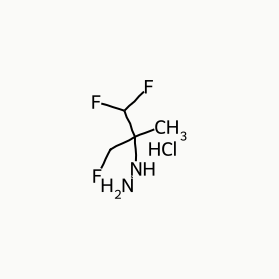 CC(CF)(NN)C(F)F.Cl